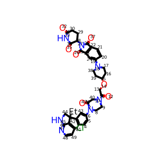 CCC1(c2cccc(N3CCN(C(=O)COC4CCN(c5ccc6c(c5)C(=O)N(C5CCC(=O)NC5=O)C6=O)CC4)CC3=O)c2)CNc2nccc(Cl)c21